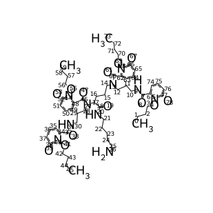 CCCCOn1c(C(=O)NCCCN(CCCC(C(=O)NCCCCCN)N(CCCNC(=O)c2cccc(=O)n2OCCCC)C(=O)c2cccc(=O)n2OCCCC)C(=O)c2cccc(=O)n2OCCCC)cccc1=O